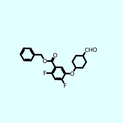 O=CC1CCC(Oc2cc(C(=O)OCc3ccccc3)c(F)cc2F)CC1